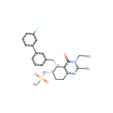 CCn1c(C)nc2c(c1=O)[C@@H](Cc1cccc(-c3cccc(F)c3)c1)[C@@H](NS(C)(=O)=O)CC2